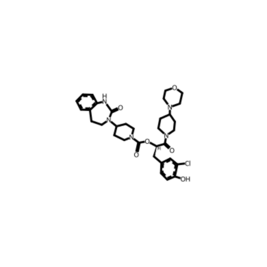 O=C(O[C@H](Cc1ccc(O)c(Cl)c1)C(=O)N1CCC(N2CCOCC2)CC1)N1CCC(N2CCc3ccccc3NC2=O)CC1